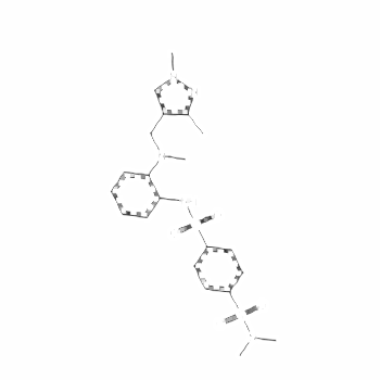 Cc1nn(C)cc1CN(C)c1ccccc1NS(=O)(=O)c1ccc(S(=O)(=O)N(C)C)cc1